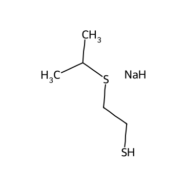 CC(C)SCCS.[NaH]